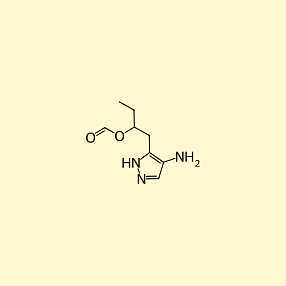 CCC(Cc1[nH]ncc1N)OC=O